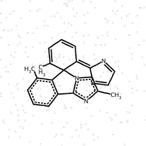 CC1=CC=CC(=C2N=CC=N2)C12c1c(C)cccc1-c1nc(C)cn12